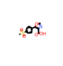 CS(=O)(=O)c1ccc(-c2ocnc2C(=O)O)cc1